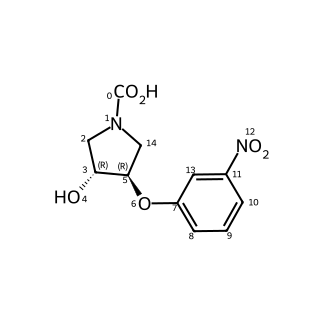 O=C(O)N1C[C@@H](O)[C@H](Oc2cccc([N+](=O)[O-])c2)C1